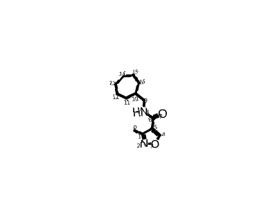 Cc1nocc1C(=O)NCC1CCCCCC1